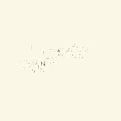 C[C@H]1[C@H](O)[C@@H](COP(=O)(O)[C@@H]2C(O)[C@@H](CO)O[C@H]2n2cnc3c(=O)[nH]c(N)nc32)O[C@H]1n1cnc2c(N)ncnc21